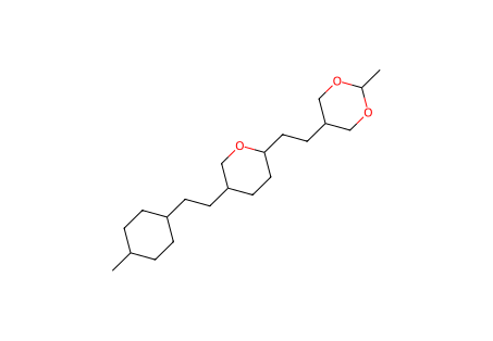 CC1CCC(CCC2CCC(CCC3COC(C)OC3)OC2)CC1